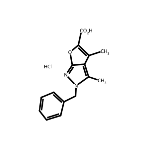 Cc1c(C(=O)O)oc2nn(Cc3ccccc3)c(C)c12.Cl